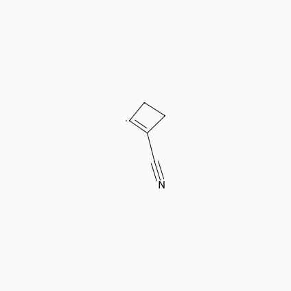 N#CC1=[C]CC1